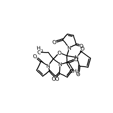 CCC(OC(CC)(N1C(=O)C=CC1=O)N1C(=O)C=CC1=O)(N1C(=O)C=CC1=O)N1C(=O)C=CC1=O